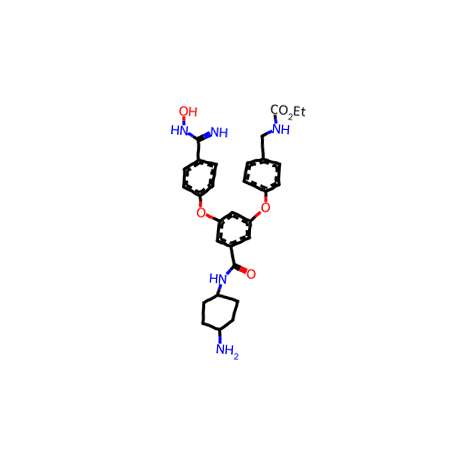 CCOC(=O)NCc1ccc(Oc2cc(Oc3ccc(C(=N)NO)cc3)cc(C(=O)NC3CCC(N)CC3)c2)cc1